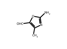 Cc1nc(N)oc1C=O